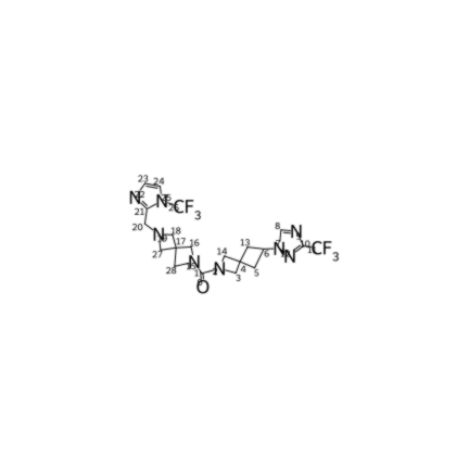 O=C(N1CC2(CC(n3cnc(C(F)(F)F)n3)C2)C1)N1CC2(CN(Cc3nccn3C(F)(F)F)C2)C1